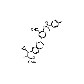 COC(=O)C(C)C(c1ccc2c(c1)O[C@H](c1ccc(OS(=O)(=O)c3ccc(C)cc3)c(C=O)c1)CC2)C1CC1